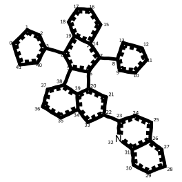 c1ccc(-c2c3c(c(-c4ccccc4)c4ccccc24)-c2cc(-c4ccc5ccccc5n4)cc4cccc-3c24)cc1